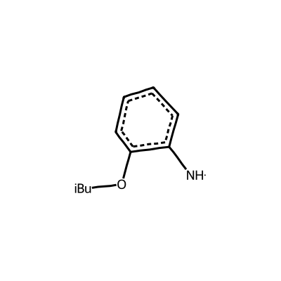 CCC(C)Oc1ccccc1[NH]